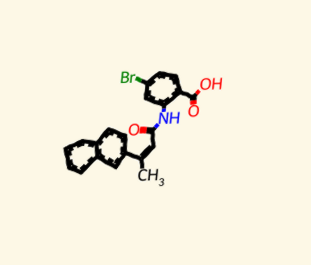 C/C(=C/C(=O)Nc1cc(Br)ccc1C(=O)O)c1ccc2ccccc2c1